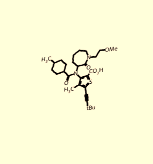 COCCN1CCCCC(N(C(=O)C2CCC(C)CC2)c2c(C(=O)O)sc(C#CC(C)(C)C)c2C)C1=O